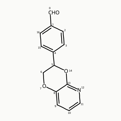 O=Cc1ccc(C2COc3cccnc3O2)cc1